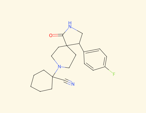 N#CC1(N2CCC3(CC2)C(=O)NCC3c2ccc(F)cc2)CCCCC1